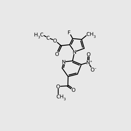 CCOC(=O)c1c(F)c(C)cn1-c1ncc(C(=O)OC)cc1[N+](=O)[O-]